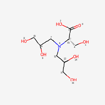 O=C(O)[C@H](CO)N(CC(O)CO)CC(O)CO